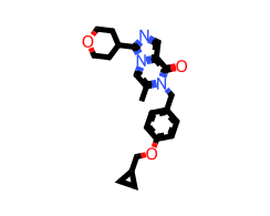 Cc1cn2c(C3CCOCC3)ncc2c(=O)n1Cc1ccc(OCC2CC2)cc1